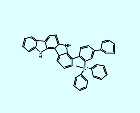 C[N+](c1ccccc1)(c1ccccc1)c1cc(-c2ccccc2)ccc1-c1cccc2c1[nH]c1ccc3c4ccccc4[nH]c3c12